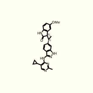 COc1ccc2c(c1)[C@]1(C[C@H]1c1ccc3c(Nc4nc(C)ncc4C4CC4)n[nH]c3c1)C(=O)N2